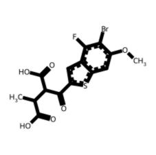 COc1cc2sc(C(=O)C(C(=O)O)C(C)C(=O)O)cc2c(F)c1Br